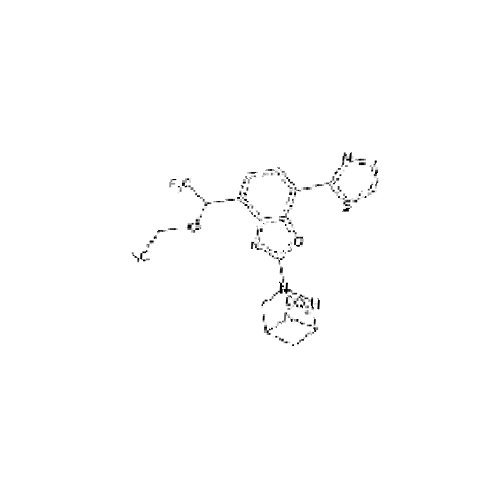 N#CCOC(c1ccc(-c2nccs2)c2oc(N3CC4CC(C3)N4C(=O)O)nc12)C(F)(F)F